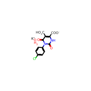 O.O=C([O-])c1[nH]c(=O)n(-c2ccc(Cl)cc2)c(=O)c1C(=O)O.[K+]